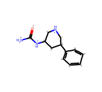 NC(=O)NC1CNCC(c2ccccc2)C1